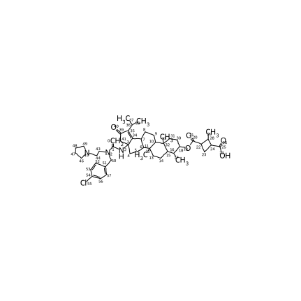 C=C(NC12CCC3C(CCC4C3(C)CCC3C(C)C(OC(=O)C5CC(C(=O)O)C5C)CCC34C)C1=C(C(C)C)C(=O)C2)N(CCN1CCCC1)Cc1ccc(Cl)cc1